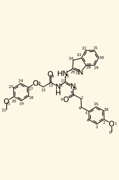 COc1ccc(CCC(=O)/N=C(\NC(=O)COc2ccc(OC)cc2)NC2=Nc3ccccc3C2)cc1